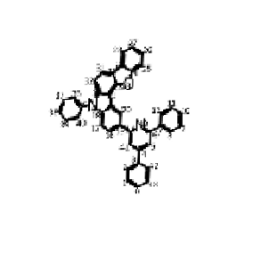 c1ccc(-c2cc(-c3ccccc3)nc(-c3ccc4c(c3)c3c5oc6ccccc6c5ccc3n4-c3ccccc3)c2)cc1